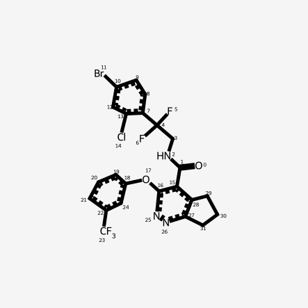 O=C(NCC(F)(F)c1ccc(Br)cc1Cl)c1c(Oc2cccc(C(F)(F)F)c2)nnc2c1CCC2